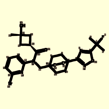 CC(C)(F)c1nc(C23CCC(CN(c4cccc(Br)n4)C(=O)[C@H]4C[C@@](C)(O)C4)(CC2)CC3)no1